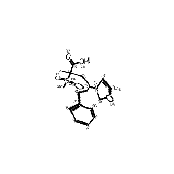 CC(CC(Cc1ccccc1)N1C=COC1)(C(=O)O)S(C)(=O)=O